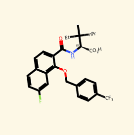 CCCC(C)(CC)[C@H](NC(=O)c1ccc2ccc(F)cc2c1OCc1ccc(C(F)(F)F)cc1)C(=O)O